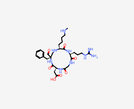 CNCCCC[C@@H]1NC[C@](C=O)(Cc2ccccc2)NC(=O)[C@H](CC(=O)O)NC(=O)CNC(=O)[C@H](CCCNC(=N)N)NC1=O